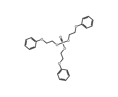 O=P(OCCOc1ccccc1)(OCCOc1ccccc1)OCCOc1ccccc1